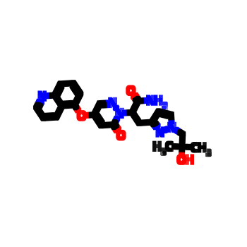 CC(C)(O)Cn1ccc(CC(C(N)=O)n2ncc(Oc3cccc4ncccc34)cc2=O)n1